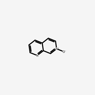 [O-][n+]1ccc2cccnc2c1